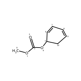 COC(=O)OC1C=CC=CC1